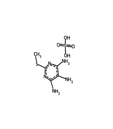 CSc1nc(N)c(N)c(N)n1.O=S(=O)(O)O